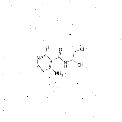 C[C@@H](CCl)NC(=O)c1c(N)ncnc1Cl